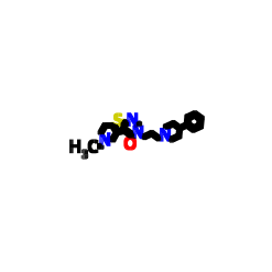 CCN1CCc2sc3ncn(CCCN4CCC(c5ccccc5)CC4)c(=O)c3c2C1